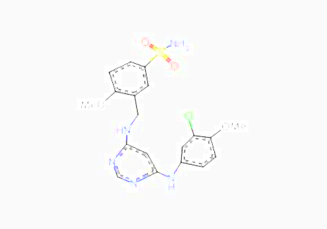 COc1ccc(Nc2cc(NCc3cc(S(N)(=O)=O)ccc3OC)ncn2)cc1Cl